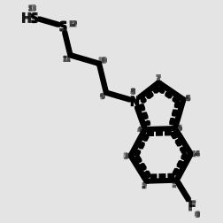 Fc1ccc2c(ccn2CCCSS)c1